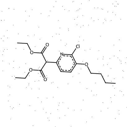 CCCCOc1ccc(C(C(=O)OCC)C(=O)OCC)nc1Cl